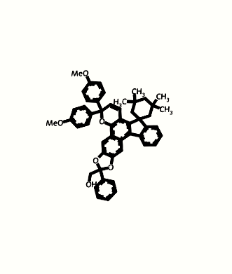 COc1ccc(C2(c3ccc(OC)cc3)C=Cc3c4c(c5cc6c(cc5c3O2)OC(CO)(c2ccccc2)O6)-c2ccccc2C42CC(C)(C)CC(C)(C)C2)cc1